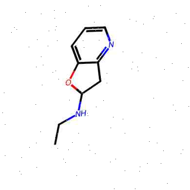 CCNC1Cc2ncccc2O1